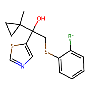 CC1(C(O)(CSc2ccccc2Br)c2cncs2)CC1